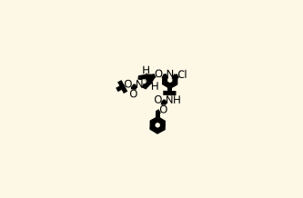 CC(C)(C)OC(=O)N1C[C@@H]2C(Oc3cc(C(C)(C)NC(=O)OCc4ccccc4)cc(Cl)n3)[C@@H]2C1